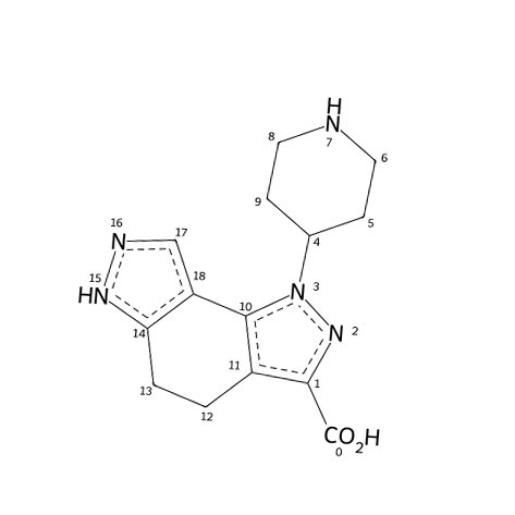 O=C(O)c1nn(C2CCNCC2)c2c1CCc1[nH]ncc1-2